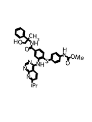 COC(=O)Nc1ccc(Sc2ccc(C(=O)NC(C)(CO)c3ccccc3)cc2Nc2ncnc3nc(C(C)C)ccc23)cc1